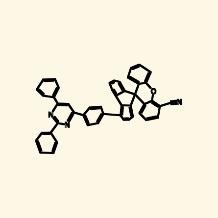 N#Cc1cccc2c1Oc1ccccc1C21c2ccccc2-c2c(-c3ccc(-c4cc(-c5ccccc5)nc(-c5ccccc5)n4)cc3)cccc21